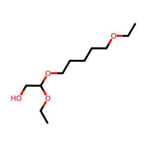 CCOCCCCCOC(CO)OCC